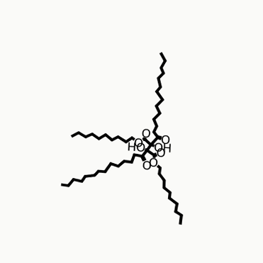 CCCCCCCCCCCCCC(=O)C(O)(C(=O)OCCCCCCCCCC)C(O)(C(=O)CCCCCCCCCCCCC)C(=O)OCCCCCCCCCC